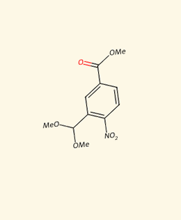 COC(=O)c1ccc([N+](=O)[O-])c(C(OC)OC)c1